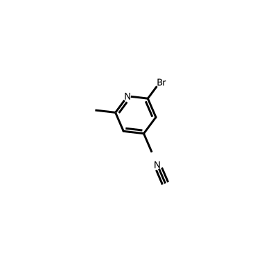 C#N.Cc1cc(C)nc(Br)c1